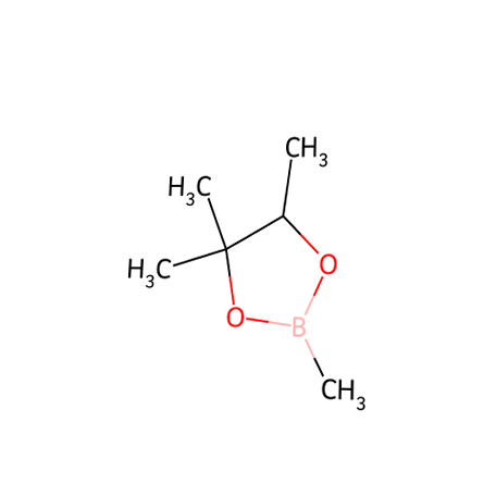 CB1OC(C)C(C)(C)O1